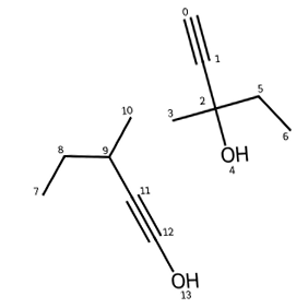 C#CC(C)(O)CC.CCC(C)C#CO